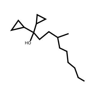 CCCCCCC(C)CCC(O)(C1CC1)C1CC1